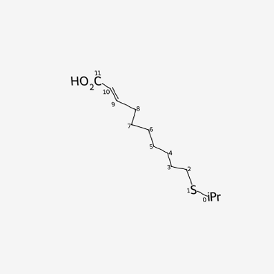 CC(C)SCCCCCCCC=CC(=O)O